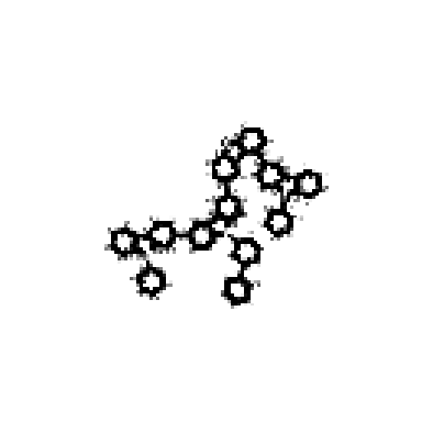 c1ccc(-c2cccc(-n3c4ccc(-c5ccc6oc7cccc(-c8ccc9c(c8)c8ccccc8n9-c8ccccc8)c7c6c5)cc4c4cc(-c5ccc6c7ccccc7n(-c7ccccc7)c6c5)ccc43)c2)cc1